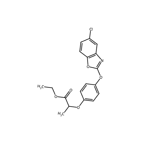 CCOC(=O)C(C)Oc1ccc(Oc2nc3cc(Cl)ccc3o2)cc1